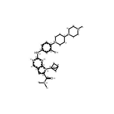 CN1CCN(C2CCN(c3ccc(Nc4ncc5cc(C(=O)N(C)C)n(C67CC(C6)C7)c5n4)cc3F)CC2)CC1